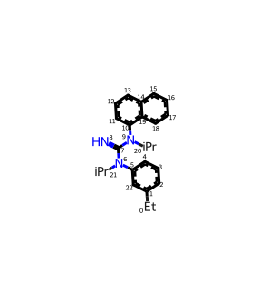 CCc1cccc(N(C(=N)N(c2cccc3ccccc23)C(C)C)C(C)C)c1